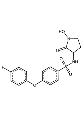 O=C1C(NS(=O)(=O)c2ccc(Oc3ccc(F)cc3)cc2)CCN1O